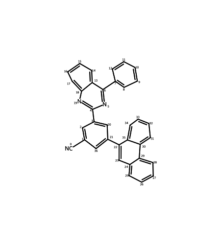 N#Cc1cc(-c2nc(-c3ccccc3)c3ccccc3n2)cc(-c2cc3ccccc3c3ccccc23)c1